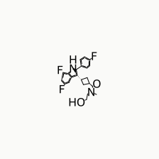 CN(CCO)C(=O)[C@H]1C[C@H](c2c(-c3ccc(F)cc3)[nH]c3c(F)cc(F)cc32)C1